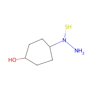 NN(S)C1CCC(O)CC1